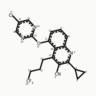 N#Cc1c(C2CC2)nc2cccc(Oc3ncc(Cl)cn3)c2c1CCCC(F)(F)F